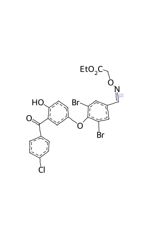 CCOC(=O)CO/N=C\c1cc(Br)c(Oc2ccc(O)c(C(=O)c3ccc(Cl)cc3)c2)c(Br)c1